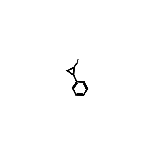 FC1C[C]1c1ccccc1